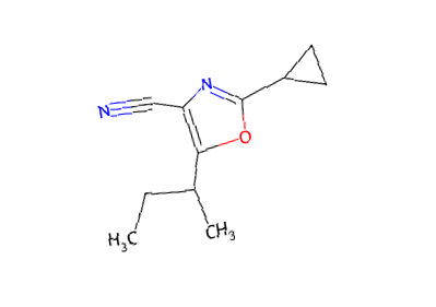 CCC(C)c1oc(C2CC2)nc1C#N